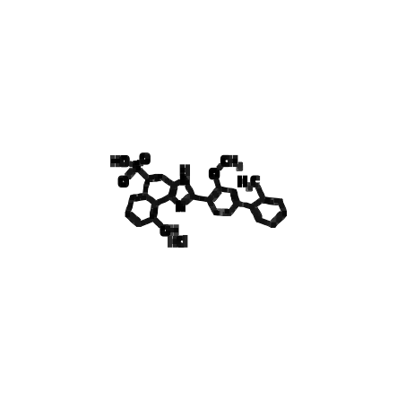 COc1cc(-c2ccccc2C)ccc1-c1nc2c(cc(S(=O)(=O)O)c3cccc(O)c32)[nH]1.Cl